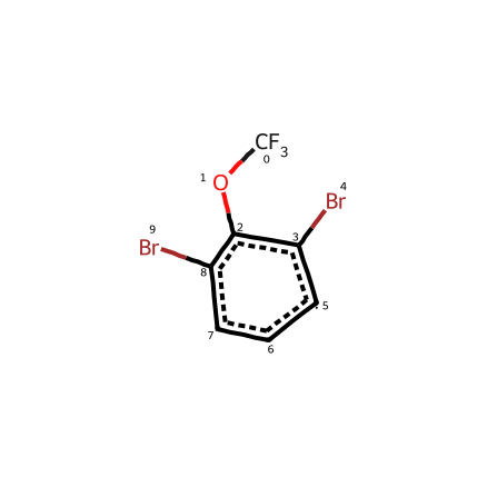 FC(F)(F)Oc1c(Br)[c]ccc1Br